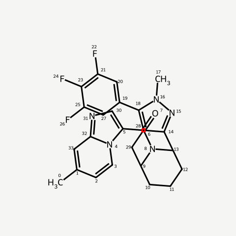 Cc1ccn2c(C(=O)N3C4CCCC3c3nn(C)c(-c5cc(F)c(F)c(F)c5)c3C4)cnc2c1